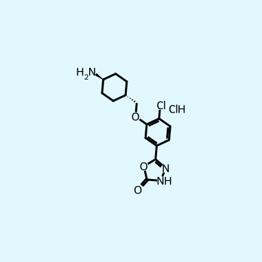 Cl.N[C@H]1CC[C@H](COc2cc(-c3n[nH]c(=O)o3)ccc2Cl)CC1